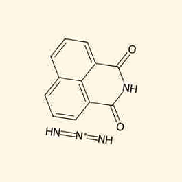 N=[N+]=N.O=C1NC(=O)c2cccc3cccc1c23